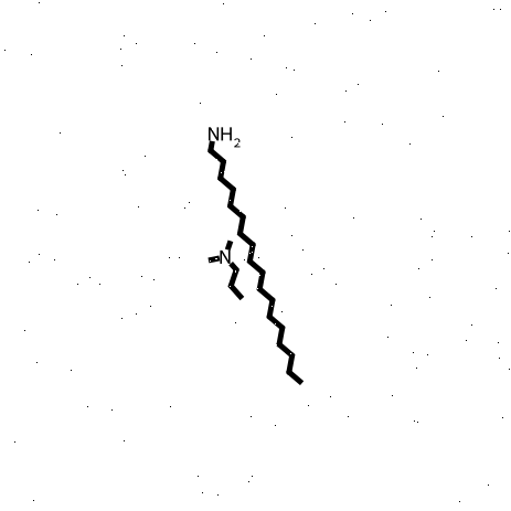 CCCCCCCCCCCCCCCCCCN.CCCN(C)C